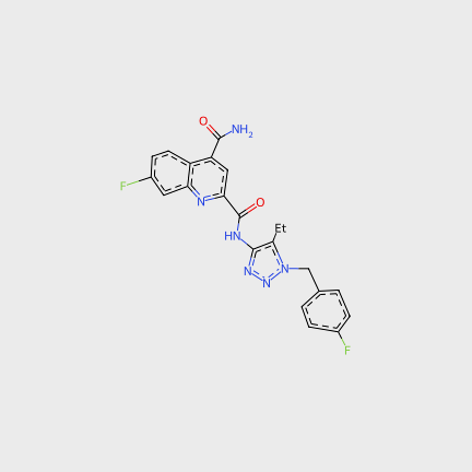 CCc1c(NC(=O)c2cc(C(N)=O)c3ccc(F)cc3n2)nnn1Cc1ccc(F)cc1